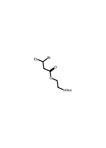 CCCCCCCCOC(=O)CC(Br)CC